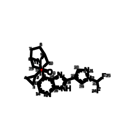 O=C(C1CC1)N1C2CCC1CN(c1ccnc3[nH]c(-c4cnn(C(F)F)c4)nc13)C2